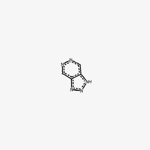 [c]1nncc2[nH]nnc12